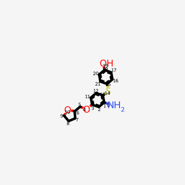 Nc1cc(OCC2CCCO2)ccc1Sc1ccc(O)cc1